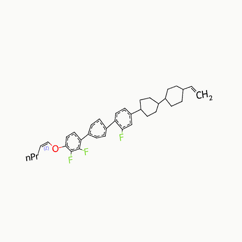 C=CC1CCC(C2CCC(c3ccc(-c4ccc(-c5ccc(O/C=C\CCC)c(F)c5F)cc4)c(F)c3)CC2)CC1